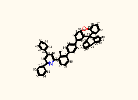 Cc1c(-c2ccc(-c3ccc4c(c3)C3(c5ccccc5O4)c4ccccc4-c4ccccc43)cc2)cccc1-c1cc(-c2ccccc2)cc(-c2ccccc2)n1